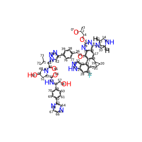 CO[C@@H](C)COc1nc(N2C[C@@H]3C[C@H]2CN3)c2cc(C3CC3)c(-c3c(C)c(F)cc4[nH]ncc34)c(OCc3ccc(-c4cn([C@H](C(=O)N5C[C@H](O)C[C@H]5C(=O)N[C@@H](CO)c5ccc(-c6cnccn6)cc5)C(C)C)nn4)cc3)c2n1